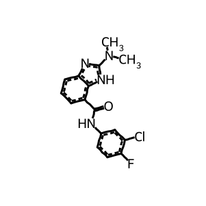 CN(C)c1nc2cccc(C(=O)Nc3ccc(F)c(Cl)c3)c2[nH]1